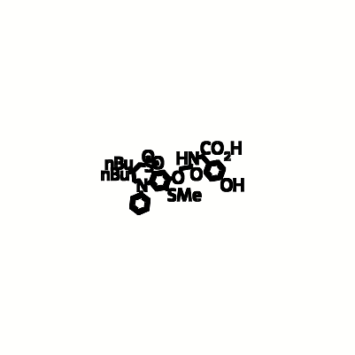 CCCCC1(CCCC)CN(c2ccccc2)c2cc(SC)c(OCC(=O)N[C@@H](C(=O)O)c3ccc(O)cc3)cc2S(=O)(=O)C1